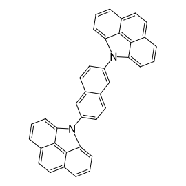 c1cc2ccc3cccc4c3c2c(c1)n4-c1ccc2cc(-n3c4cccc5ccc6cccc3c6c54)ccc2c1